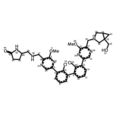 COc1nc(-c2cccc(-c3cccc(-c4cnc(CN5CC6CC6(CO)C5)c(OC)n4)c3Cl)c2Cl)cnc1CNCC1CCC(=O)N1